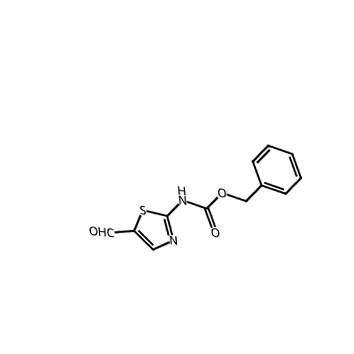 O=Cc1cnc(NC(=O)OCc2ccccc2)s1